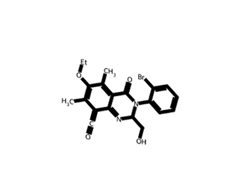 CCOc1c(C)c2c(c(=C=O)c1C)=NC(CO)N(c1ccccc1Br)C2=O